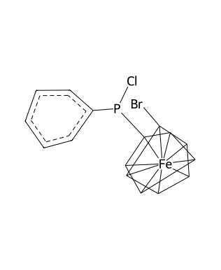 ClP(c1ccccc1)[C]12[CH]3[CH]4[CH]5[CH]1[Fe]45321678[CH]2[CH]1[CH]6[C]7(Br)[CH]28